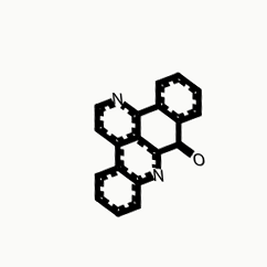 O=C1c2ccccc2-c2nccc3c2c1nc1ccccc13